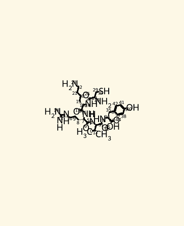 CC(C)[C@H](NC(=O)[C@H](CCCNC(=N)N)NC(=O)[C@H](CCCCN)NC(=O)[C@@H](N)CS)C(=O)N[C@@H](Cc1ccc(O)cc1)C(=O)O